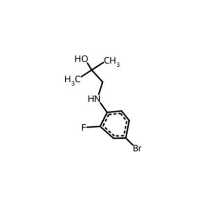 CC(C)(O)CNc1ccc(Br)cc1F